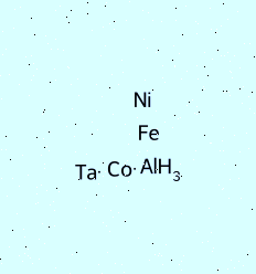 [AlH3].[Co].[Fe].[Ni].[Ta]